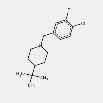 CC(C)(C)C1CCN(Cc2ccc(Cl)c(F)c2)CC1